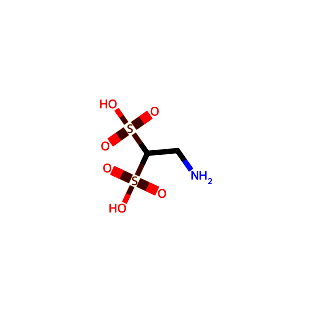 NCC(S(=O)(=O)O)S(=O)(=O)O